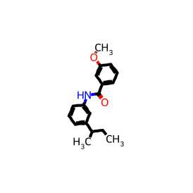 CCC(C)c1cccc(NC(=O)c2cccc(OC)c2)c1